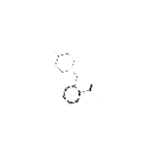 CC(=O)c1ccccc1CN1CCC(O)CC1